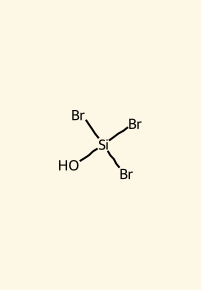 O[Si](Br)(Br)Br